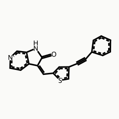 O=C1Nc2cnccc2C1=Cc1cc(C#Cc2ccccc2)cs1